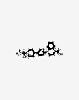 CC(C)(C)N1CCC(c2ccc(N3CCN(C(=O)O)c4ccccc43)nc2)CC1